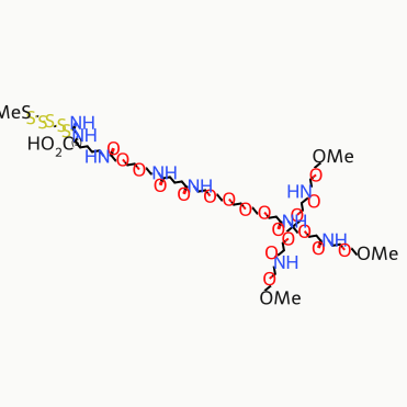 COCCOCCNC(=O)CCOCC(COCCC(=O)NCCOCCOC)(COCCC(=O)NCCOCCOC)NC(=O)CCOCCOCCOCCOCCNC(=O)CCCC(=O)NCCOCCOCC(=O)NCCCC[C@H](NC(=N)SSCSSCSSC)C(=O)O